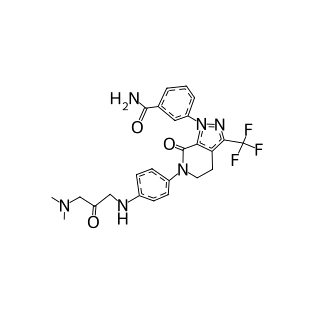 CN(C)CC(=O)CNc1ccc(N2CCc3c(C(F)(F)F)nn(-c4cccc(C(N)=O)c4)c3C2=O)cc1